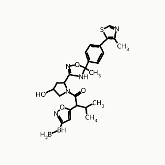 BBc1cc(C(C(=O)N2CC(O)CC2C2=NOC(C)(c3ccc(-c4scnc4C)cc3)N2)C(C)C)on1